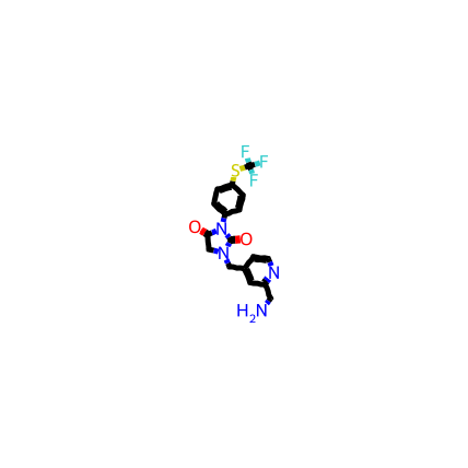 NCc1cc(CN2CC(=O)N(c3ccc(SC(F)(F)F)cc3)C2=O)ccn1